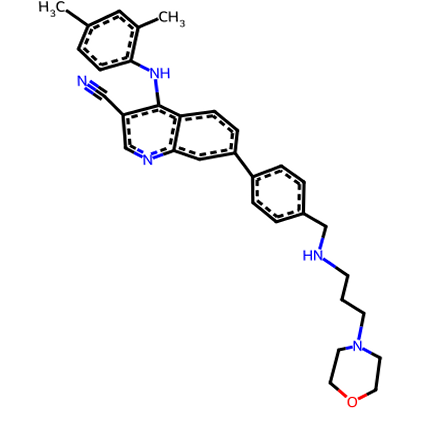 Cc1ccc(Nc2c(C#N)cnc3cc(-c4ccc(CNCCCN5CCOCC5)cc4)ccc23)c(C)c1